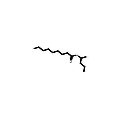 CCCCCCCCC(=O)OC(C)CCC